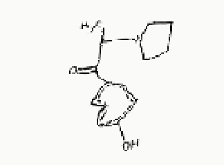 CC(C(=O)c1ccc(O)cc1)N1CCCCC1